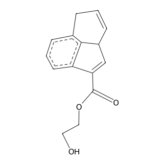 O=C(OCCO)C1=CC2C=CCc3cccc1c32